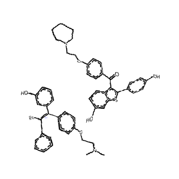 CC/C(=C(/c1ccc(OCCN(C)C)cc1)c1cccc(O)c1)c1ccccc1.O=C(c1ccc(OCCN2CCCCC2)cc1)c1c(-c2ccc(O)cc2)sc2cc(O)ccc12